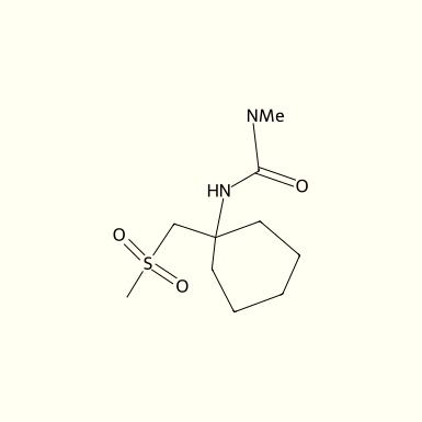 CNC(=O)NC1(CS(C)(=O)=O)CCCCC1